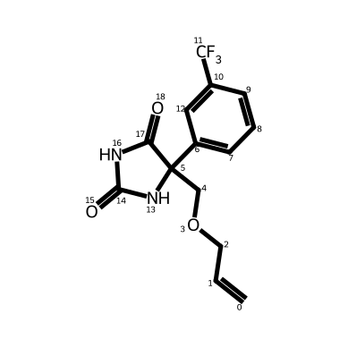 C=CCOCC1(c2cccc(C(F)(F)F)c2)NC(=O)NC1=O